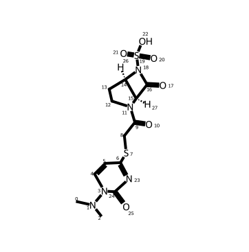 CN(C)n1ccc(SCC(=O)N2CC[C@@H]3[C@H]2C(=O)N3S(=O)(=O)O)nc1=O